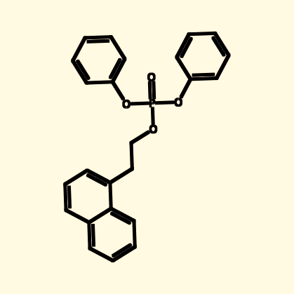 O=P(OCCc1cccc2ccccc12)(Oc1ccccc1)Oc1ccccc1